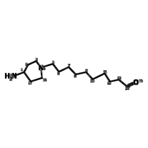 NC1CCN(CCCCCCCCC[C]=O)CC1